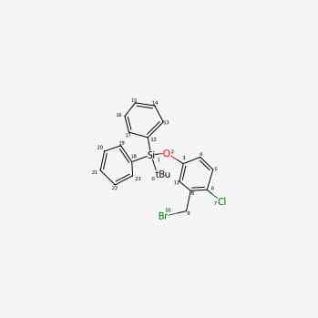 CC(C)(C)[Si](Oc1ccc(Cl)c(CBr)c1)(c1ccccc1)c1ccccc1